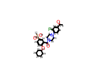 CC(=O)c1ccc(N2CCN(C(=O)c3cc(S(C)(=O)=O)ccc3OC3CCCCC3)CC2)c(F)c1